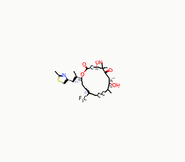 C/C(=C\c1csc(C)n1)[C@@H]1C/C=C(/C(F)(F)F)CCCC(C)[C@H](O)[C@@H](C)C(=O)C(C)(C)[C@@H](O)CC(=O)O1